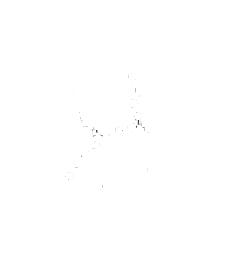 CCCCCCCCOc1ccc(-c2nnc(-c3cc(-c4ccc5c(c4)C(CCCCCCCC)(CCCCCCCC)c4cc(-c6ccccc6)ccc4-5)ccc3-c3ccc4c(c3)C(CCCCCCCC)(CCCCCCCC)c3cc(-c5ccc6c(c5)c5cc(-c7ccc8c(c7)C(CCCCCCCC)(CCCCCCCC)c7cc(-c9ccccc9)ccc7-8)ccc5n6-c5ccccc5)ccc3-4)o2)cc1